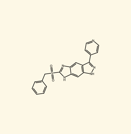 O=S(=O)(Cc1ccccc1)c1nc2cc3c(-c4ccncc4)n[nH]c3cc2[nH]1